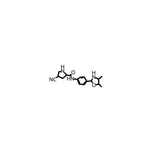 CC1NC(c2ccc(NC(=O)C3CC(C#N)CN3)cc2)OC1C